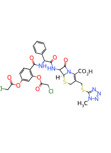 Cn1nnnc1SCC1=C(C(=O)O)N2C(=O)C(NC(=O)[C@@H](NC(=O)c3ccc(OC(=O)CCl)cc3OC(=O)CCl)c3ccccc3)[C@@H]2SC1